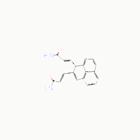 NC(=O)C=CC1=Cc2cccc3cccc(c23)C1C=CC(N)=O